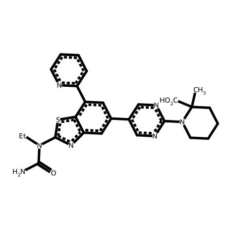 CCN(C(N)=O)c1nc2cc(-c3cnc(N4CCCCC4(C)C(=O)O)nc3)cc(-c3ccccn3)c2s1